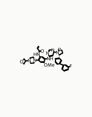 C=CC(=O)Nc1cc(Nc2cc(N3OCC[C@@H]3c3cccc(-c4cccc(F)c4)c3)ncn2)c(OC)cc1N1CCN(C2COC2)CC1